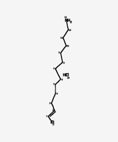 CCC=CCCCCCCCCCCN.Cl